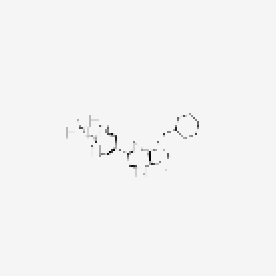 CNc1ncc(-c2cnc3ncn(CC4CCCCC4)c3n2)cn1